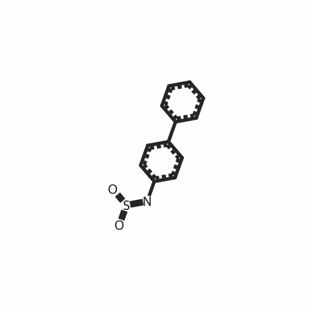 O=S(=O)=Nc1ccc(-c2ccccc2)cc1